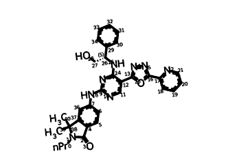 CCCN1C(=O)c2ccc(Nc3ncc(-c4nnc(-c5ccccn5)o4)c(N[C@H](CO)c4ccccc4)n3)cc2C1(C)C